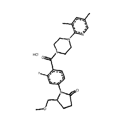 COCC1CCC(=O)N1c1ccc(C(=O)N2CCN(c3ncc(C)cc3C)CC2)c(F)c1.Cl